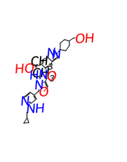 CC(C)(O)c1cc2nn(C3CCC(CO)CC3)cc2cc1NC(=O)c1coc(-c2ccnc(NCC3CC3)c2)n1